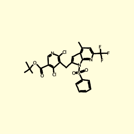 Cc1cc(C(F)(F)F)nc2c1cc(Cc1c(Cl)ncc(C(=O)OC(C)(C)C)c1Cl)n2S(=O)(=O)c1ccccc1